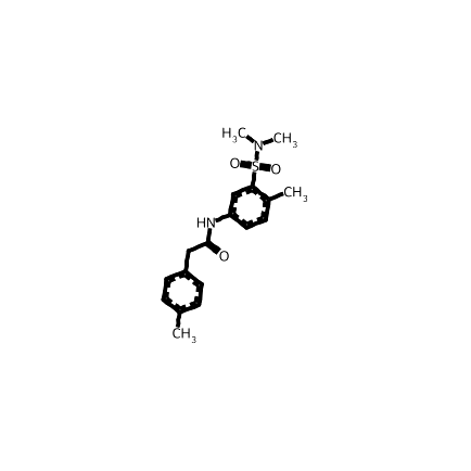 Cc1ccc(CC(=O)Nc2ccc(C)c(S(=O)(=O)N(C)C)c2)cc1